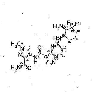 Cn1cc(NC(=O)c2cnn3ccc(N[C@@H]4CCCC(F)(F)[C@@H]4N)nc23)c(C(N)=O)n1